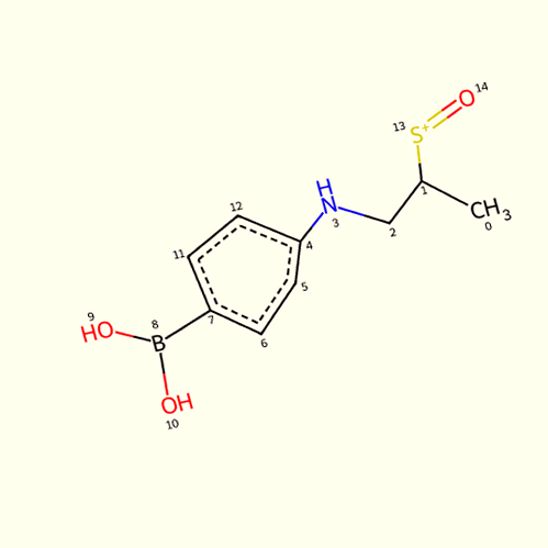 CC(CNc1ccc(B(O)O)cc1)[S+]=O